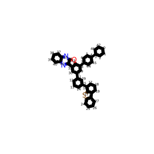 c1ccc(-c2ccc(-c3cc(-c4cccc(-c5cccc6c5sc5ccccc56)c4)cc4c3oc3nc5ccccc5nc34)cc2)cc1